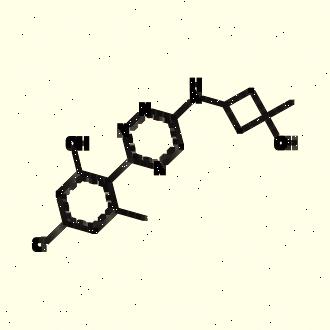 Cc1cc(Cl)cc(O)c1-c1ncc(NC2CC(C)(O)C2)nn1